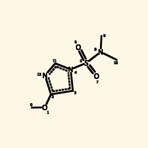 COc1cn(S(=O)(=O)N(C)C)cn1